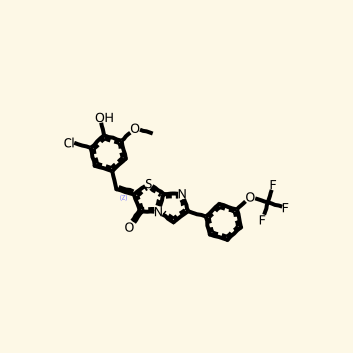 COc1cc(/C=c2\sc3nc(-c4cccc(OC(F)(F)F)c4)cn3c2=O)cc(Cl)c1O